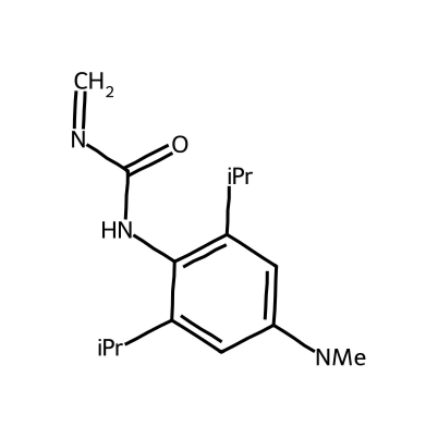 C=NC(=O)Nc1c(C(C)C)cc(NC)cc1C(C)C